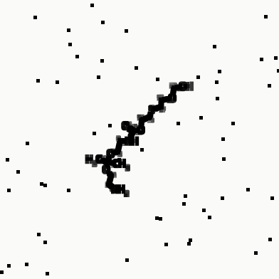 CC(C)(OCCN)OCCNC(=O)OCCSCCOCO